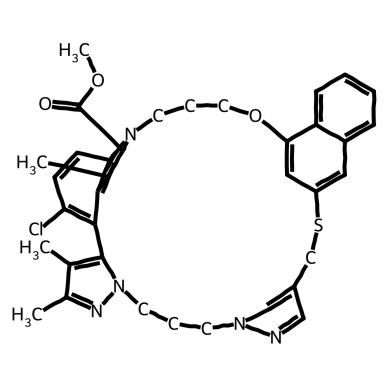 COC(=O)c1c(C)c2c3c(Cl)ccc2n1CCCOc1cc(cc2ccccc12)SCc1cnn(c1)CCCn1nc(C)c(C)c1-3